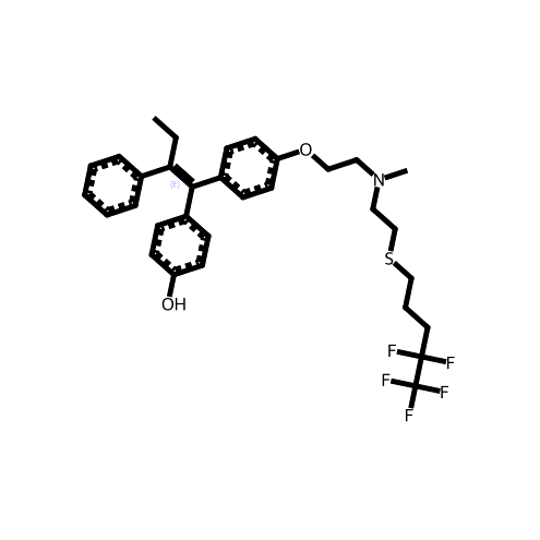 CC/C(=C(/c1ccc(O)cc1)c1ccc(OCCN(C)CCSCCCC(F)(F)C(F)(F)F)cc1)c1ccccc1